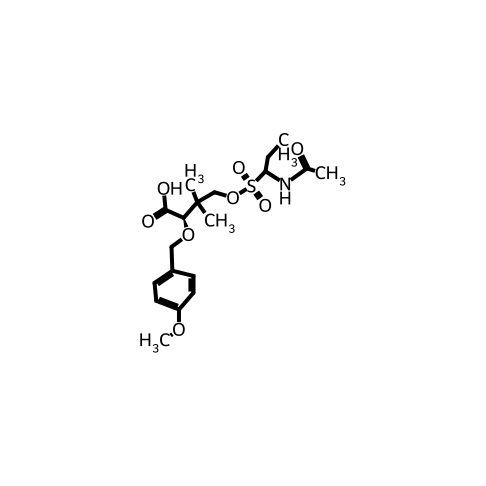 CCC(NC(C)=O)S(=O)(=O)OCC(C)(C)[C@@H](OCc1ccc(OC)cc1)C(=O)O